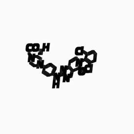 O=C(O)CN1CCN(c2ccc(Nc3ncc4c(=O)n(-c5c(Cl)cccc5Cl)ccc4n3)cc2)CC1